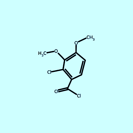 COc1ccc(C(=O)Cl)c(Cl)c1OC